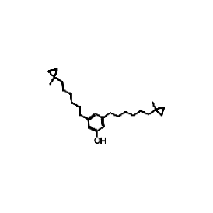 CC1(CCCCCCc2cc(O)cc(CCCCCCC3(C)CC3)c2)CC1